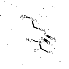 C=O.C=O.C[CH2][Sb+][CH3].C[CH2][Sb+][CH3].[O-2]